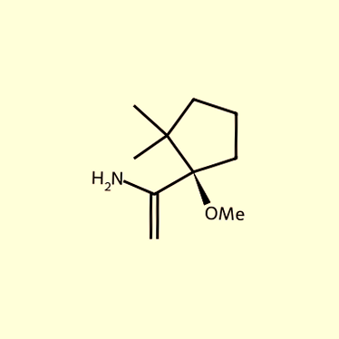 C=C(N)[C@@]1(OC)CCCC1(C)C